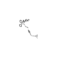 COC(=O)CCCC#CCC1[CH]C1